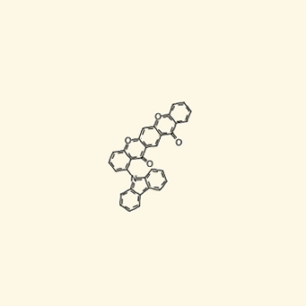 O=c1c2ccccc2oc2cc3oc4cccc(-n5c6ccccc6c6ccccc65)c4c(=O)c3cc12